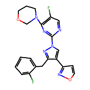 Fc1ccccc1Cc1nn(-c2ncc(F)c(N3CCCOC3)n2)cc1-c1ccon1